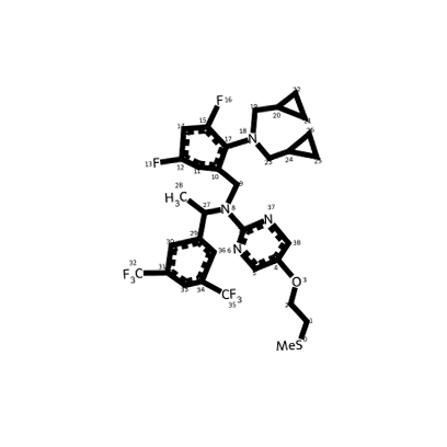 CSCCOc1cnc(N(Cc2cc(F)cc(F)c2N(CC2CC2)CC2CC2)C(C)c2cc(C(F)(F)F)cc(C(F)(F)F)c2)nc1